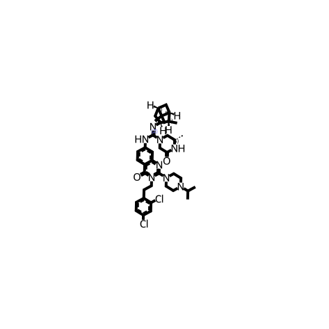 CC(C)N1CCN(c2nc3cc(N/C(=N/[C@H]4C[C@@H]5C[C@H]([C@@H]4C)C5(C)C)N4CC(=O)N[C@@H](C)C4)ccc3c(=O)n2CCc2ccc(Cl)cc2Cl)CC1